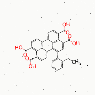 CCc1ccccc1-c1cc(C(=O)O)c2c(C(=O)O)ccc3c4ccc(C(=O)O)c5c(C(=O)O)ccc(c1c23)c54